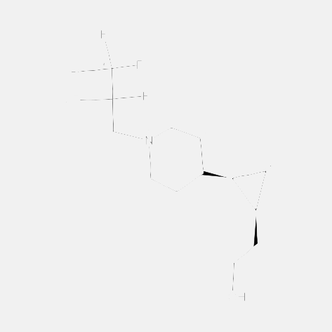 OCC[C@@H]1C[C@@H]1C1CCN(CC(F)(F)C(F)(F)F)CC1